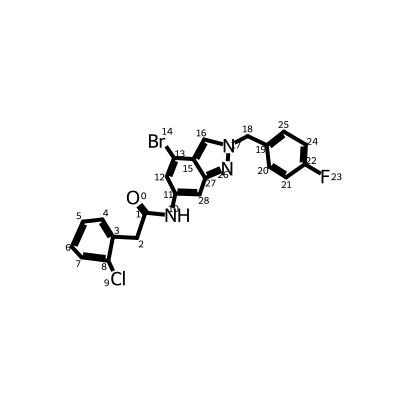 O=C(Cc1ccccc1Cl)Nc1cc(Br)c2cn(Cc3ccc(F)cc3)nc2c1